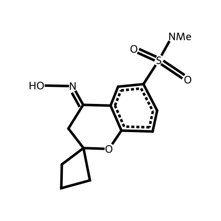 CNS(=O)(=O)c1ccc2c(c1)C(=NO)CC1(CCC1)O2